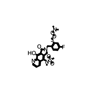 CN(C)OOSc1cc(F)ccc1CN1Cc2c(c(O)c3ncccc3c2N(C)S(C)(=O)=O)C1=O